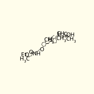 C=C1CC[C@H](OCCCNC(=O)CC(C)OCC)C/C1=C/C=C1\CCC[C@]2(C)[C@@H]([C@H](C)CCCC(C)(C)O)CC[C@@H]12